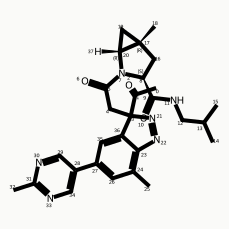 CC(=O)C1(CC(=O)N2[C@H](C(=O)NCC(C)C)C[C@@]3(C)C[C@@H]23)N=Nc2c(C)cc(-c3cnc(C)nc3)cc21